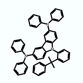 CC(C)(c1ccccc1)c1ccccc1-n1c2ccc(N(c3ccccc3)c3ccccc3)cc2c2cc(N(c3ccccc3)c3ccccc3)ccc21